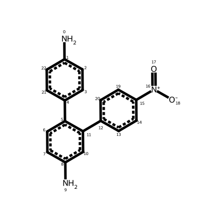 Nc1ccc(-c2ccc(N)cc2-c2ccc([N+](=O)[O-])cc2)cc1